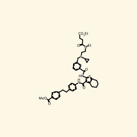 CCOC(=O)CCC(=O)N(CC)CCN(Cc1cccc(C(=O)Nc2sc3c(c2C(=O)Nc2ccc(CCc4ccc(C(=O)OC)cc4)cc2)CCCC3)c1)C1CC1